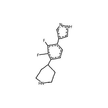 Fc1c(-c2cn[nH]c2)ccc(C2CCNCC2)c1F